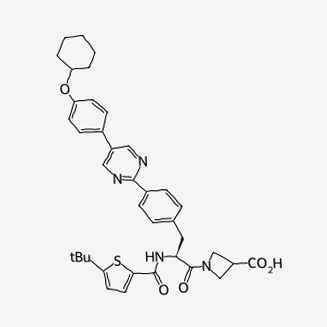 CC(C)(C)c1ccc(C(=O)N[C@@H](Cc2ccc(-c3ncc(-c4ccc(OC5CCCCC5)cc4)cn3)cc2)C(=O)N2CC(C(=O)O)C2)s1